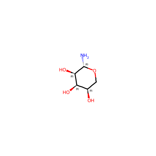 N[C@@H]1OC[C@@H](O)[C@@H](O)[C@H]1O